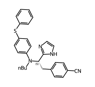 CCCCN(c1ccc(Sc2ccccc2)cc1)[C@@H](Cc1ccc(C#N)cc1)c1ncc[nH]1